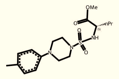 CCC[C@H](NS(=O)(=O)N1CCN(c2ccc(C)cc2)CC1)C(=O)OC